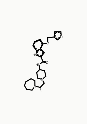 C[C@@H](CN1CCC(NC(=O)c2cc3c(OCc4ccoc4)cccc3[nH]2)CC1)N1CCCCCC1